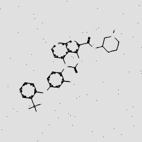 Cc1cc(Oc2ccccc2C(F)(F)F)ccc1N1C(=O)Nc2c(C(=O)NC3CCCN(C)C3)sc3nccc1c23